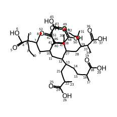 CCC(C)(C(=O)O)C(C)CC(CC(C(CCC(C)C(=O)O)CC(C)C(=O)O)C(CC(C(C)C)C(C)C(=O)O)C(C)C(C)CC(=O)O)C(CC(=O)O)C(=O)O